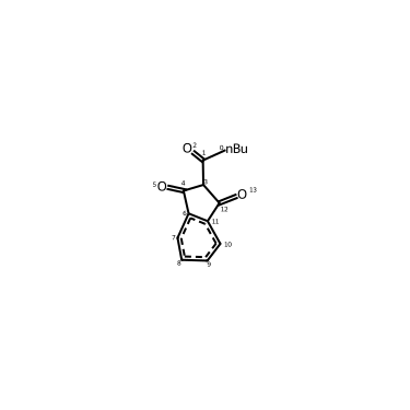 CCCCC(=O)C1C(=O)c2ccccc2C1=O